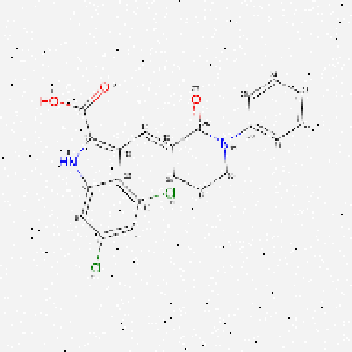 O=C(O)c1[nH]c2cc(Cl)cc(Cl)c2c1C=C1CCCN(c2ccccc2)C1=O